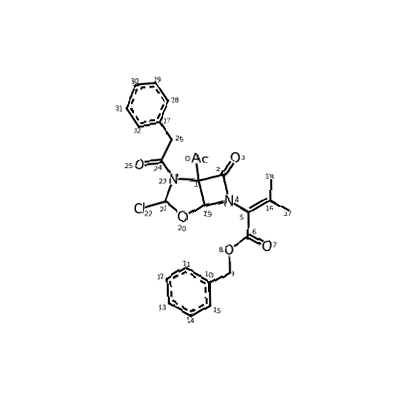 CC(=O)C12C(=O)N(C(C(=O)OCc3ccccc3)=C(C)C)C1OC(Cl)N2C(=O)Cc1ccccc1